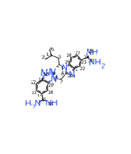 CC(C)CCn1c(Cn2nnc3ccc(C(=N)N)cc32)nc2cc(C(=N)N)ccc21